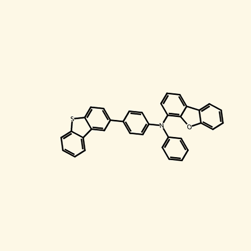 c1ccc(N(c2ccc(-c3ccc4sc5ccccc5c4c3)cc2)c2cccc3c2oc2ccccc23)cc1